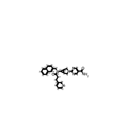 NC(=O)c1cnc(N2CC3C(C2)C3N(Cc2ccc3ccccc3c2)C(=O)CCc2cccnc2)nc1